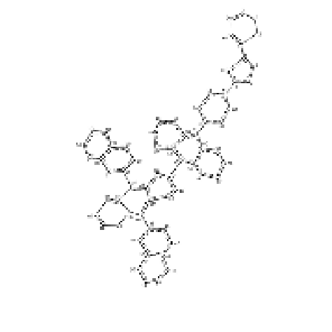 C1=CCCC(c2ccc(-c3ccc(-c4c5ccccc5c(-c5ccc6c(c5)=C(c5ccc7ccccc7c5)C5=CC=CCC5C=6c5ccc6ccccc6c5)c5ccccc45)cc3)s2)=C1